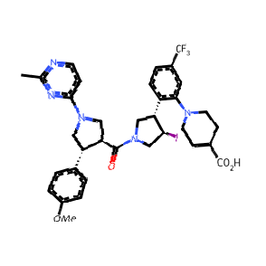 COc1ccc([C@@H]2CN(c3ccnc(C)n3)C[C@H]2C(=O)N2C[C@H](c3ccc(C(F)(F)F)cc3N3CCC(C(=O)O)CC3)[C@@H](I)C2)cc1